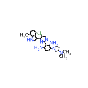 Cc1cccc2c(-c3nc(-c4c(N)ccc(N5CCC(N(C)C)C5)c4N)ncc3Cl)c[nH]c12